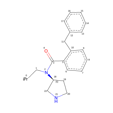 CC(C)CN(C(=O)c1ccccc1Cc1ccccc1)[C@H]1CCNC1